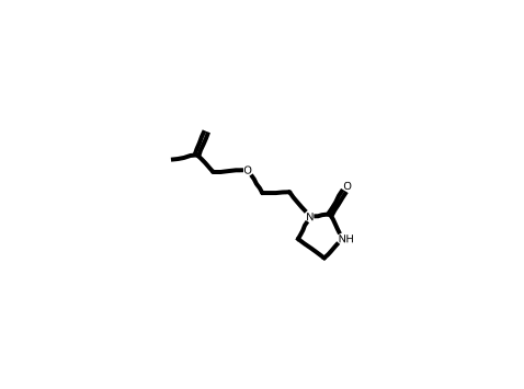 C=C(C)COCCN1CCNC1=O